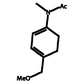 COCC1=CC=C(N(C)C(C)=O)CC1